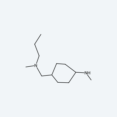 CCCN(C)CC1CCC(NC)CC1